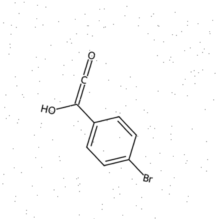 O=C=C(O)c1ccc(Br)cc1